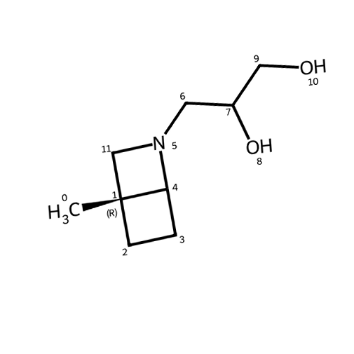 C[C@]12CCC1N(CC(O)CO)C2